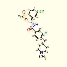 CCS(=O)(=O)c1ccc(Cl)cc1CNC(=O)c1ccc(CC2CCN(C)CC2)c(F)c1